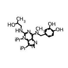 CC(O)CNc1nc(N(C)Cc2ccc(O)c(O)c2)c2nnc(C(C)C)c-2n1C(C)C